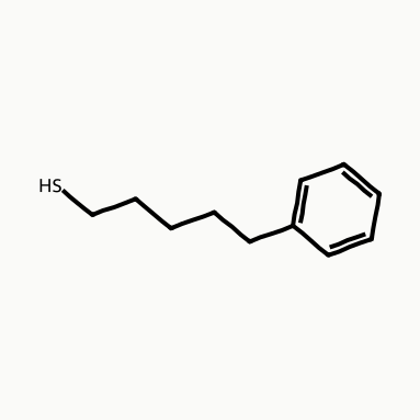 SCCCCCc1ccccc1